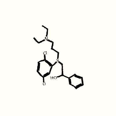 CCN(CC)CCCN(CC(O)c1ccccc1)c1cc(Cl)ccc1Cl